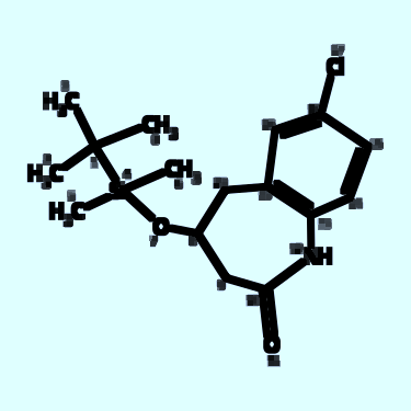 CC(C)(C)[Si](C)(C)OC1CC(=O)Nc2ccc(Cl)cc2C1